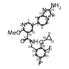 COc1ncc(-c2ccn3nc(N)nc3c2)cc1C(=O)NCc1cc(F)cc(F)c1OC1CC1